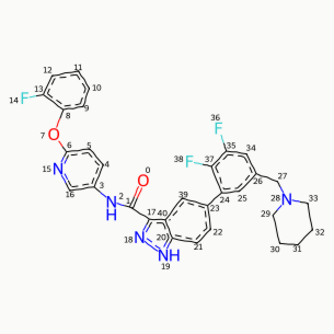 O=C(Nc1ccc(Oc2ccccc2F)nc1)c1n[nH]c2ccc(-c3cc(CN4CCCCC4)cc(F)c3F)cc12